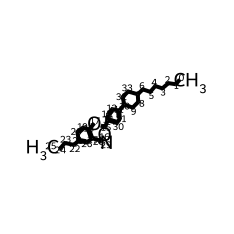 CCCCCCCC1CCC(c2ccc(C(=O)Oc3ccc(CCCC)cc3C#N)cc2)CC1